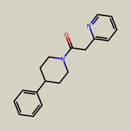 O=C(Cc1ccccn1)N1CCC(c2ccccc2)CC1